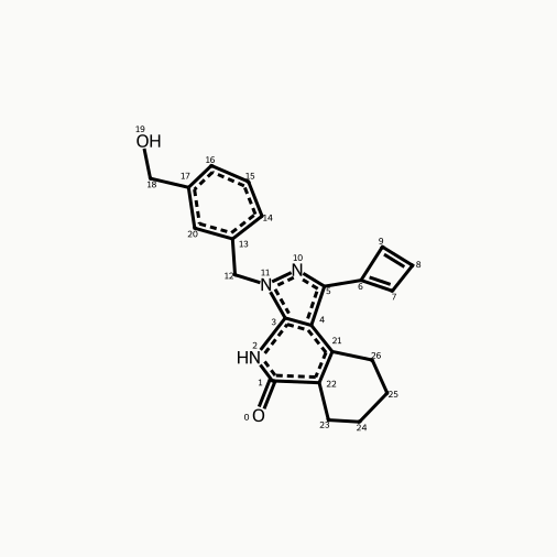 O=c1[nH]c2c(c(C3=CC=C3)nn2Cc2cccc(CO)c2)c2c1CCCC2